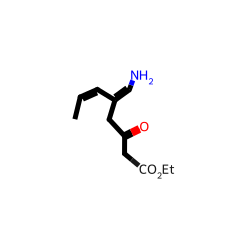 C/C=C\C(=C/N)CC(=O)CC(=O)OCC